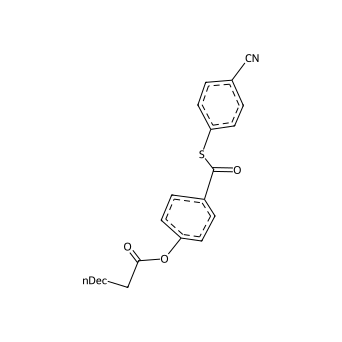 CCCCCCCCCCCC(=O)Oc1ccc(C(=O)Sc2ccc(C#N)cc2)cc1